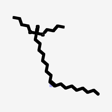 CCCCCCCC/C=C\CCCCCCCCP(=O)(OCCCC)OCCCC